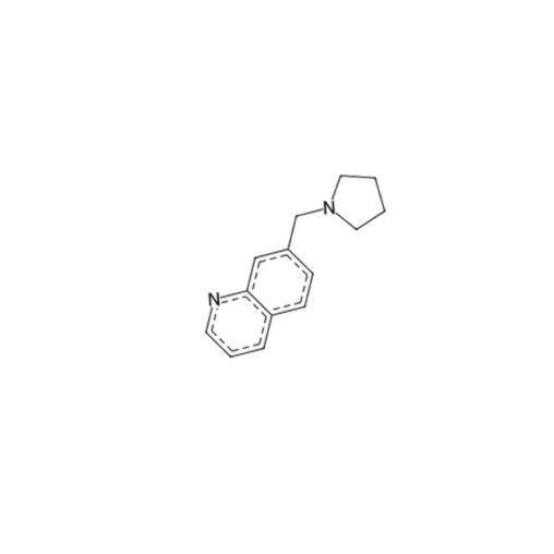 c1cnc2cc(CN3CCCC3)ccc2c1